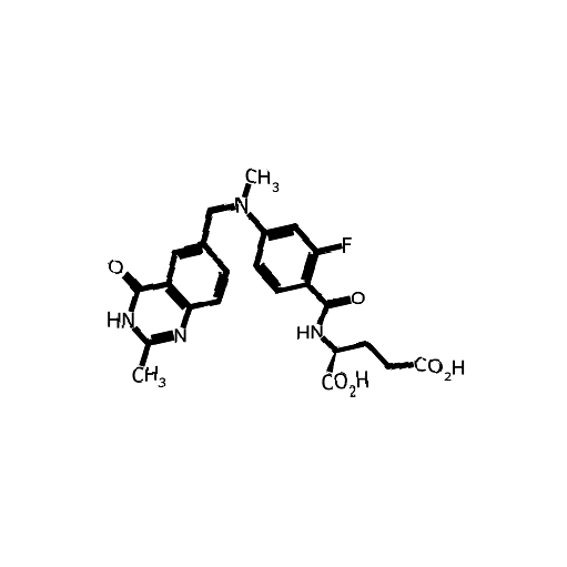 Cc1nc2ccc(CN(C)c3ccc(C(=O)N[C@@H](CCC(=O)O)C(=O)O)c(F)c3)cc2c(=O)[nH]1